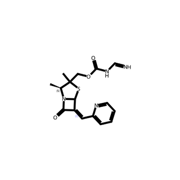 C[C@@H]1N2C(=O)/C(=C/c3ccccn3)C2SC1(C)COC(=O)NC=N